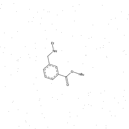 CCCCOC(=O)c1cccc(CNCC)c1